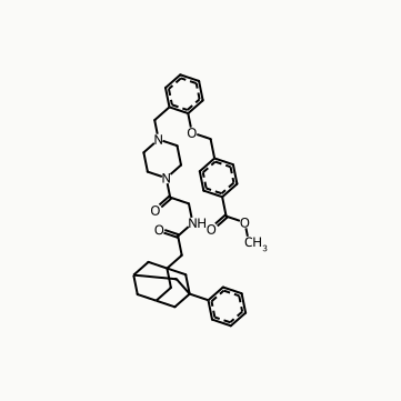 COC(=O)c1ccc(COc2ccccc2CN2CCN(C(=O)CNC(=O)CC34CC5CC(C3)CC(c3ccccc3)(C5)C4)CC2)cc1